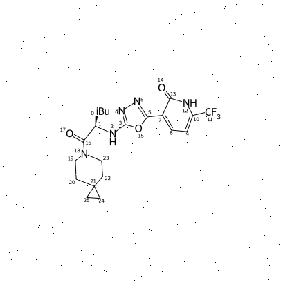 CCC(C)[C@@H](Nc1nnc(-c2ccc(C(F)(F)F)[nH]c2=O)o1)C(=O)N1CCC2(CC1)CC2